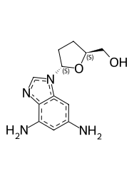 Nc1cc(N)c2ncn([C@@H]3CC[C@@H](CO)O3)c2c1